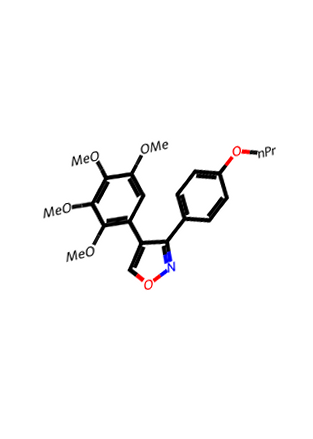 CCCOc1ccc(-c2nocc2-c2cc(OC)c(OC)c(OC)c2OC)cc1